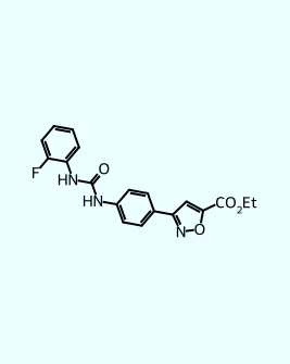 CCOC(=O)c1cc(-c2ccc(NC(=O)Nc3ccccc3F)cc2)no1